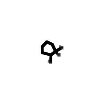 [2H]C1CCCCC1([2H])[2H]